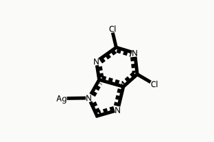 Clc1nc(Cl)c2nc[n]([Ag])c2n1